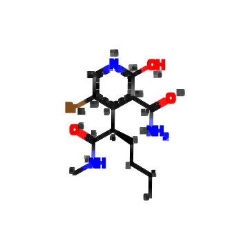 CCCC[C@@H](C(=O)NC)c1c(Br)cnc(O)c1C(N)=O